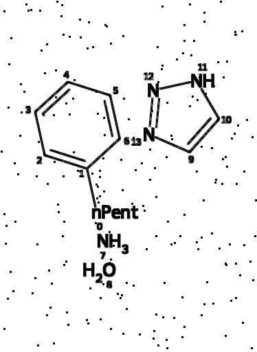 CCCCCc1ccccc1.N.O.c1c[nH]nn1